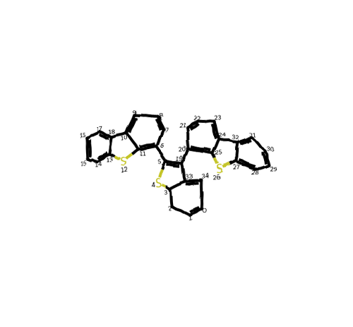 C1=CCC2SC(c3cccc4c3sc3ccccc34)=C(c3cccc4c3sc3ccccc34)C2=C1